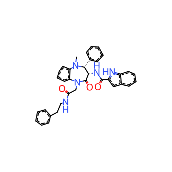 CN1c2ccccc2N(CC(=O)NCCc2ccccc2)C(=O)[C@@H](NC(=O)c2cc3ccccc3[nH]2)[C@H]1c1ccccc1